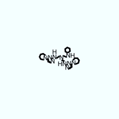 c1cc(N2CCCCCC2)nc(NCCN(CCNc2nccc(N3CCCCCC3)n2)CCNC2CCCCC2)n1